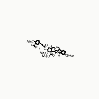 COC(=O)[C@H]1[C@H]2C[C@@H]3c4[nH]c5cc(OC)ccc5c4CCN3C[C@H]2C[C@@H](OC(=O)/C=C/c2ccc(OC)c(C(N)=O)c2)[C@@H]1OC